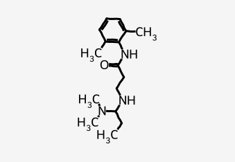 CCC(NCCC(=O)Nc1c(C)cccc1C)N(C)C